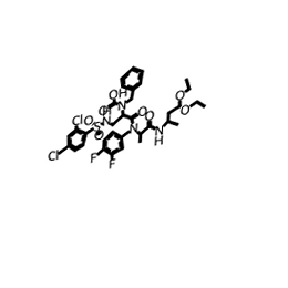 CCOC(CC(C)NC(=O)C(C)N(C(=O)C(CNS(=O)(=O)c1ccc(Cl)cc1Cl)N(Cc1ccccc1)C(=O)O)c1ccc(F)c(F)c1)OCC